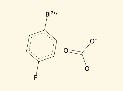 Fc1cc[c]([Bi+2])cc1.O=C([O-])[O-]